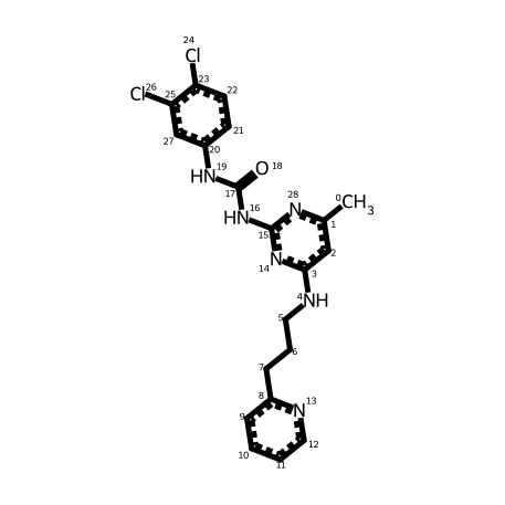 Cc1cc(NCCCc2ccccn2)nc(NC(=O)Nc2ccc(Cl)c(Cl)c2)n1